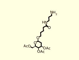 CC(=O)OC[C@H]1O[C@@H](OCCCCC(=O)NCCCN)C[C@@H](OC(C)=O)[C@H]1OC(C)=O